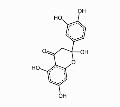 O=C1CC(O)(c2ccc(O)c(O)c2)Oc2cc(O)cc(O)c21